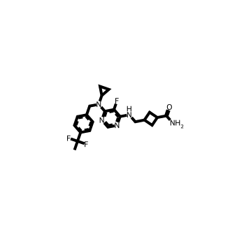 CC(F)(F)c1ccc(CN(c2ncnc(NCC3CC(C(N)=O)C3)c2F)C2CC2)cc1